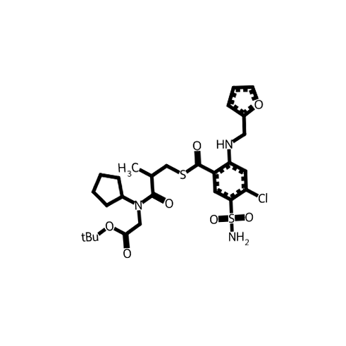 CC(CSC(=O)c1cc(S(N)(=O)=O)c(Cl)cc1NCc1ccco1)C(=O)N(CC(=O)OC(C)(C)C)C1CCCC1